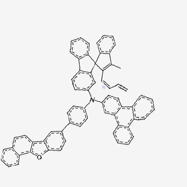 C=C/C=C\C1=C(C)c2ccccc2C12c1ccccc1-c1ccc(N(c3ccc(-c4ccc5oc6c7ccccc7ccc6c5c4)cc3)c3ccc4c5ccccc5c5ccccc5c4c3)cc12